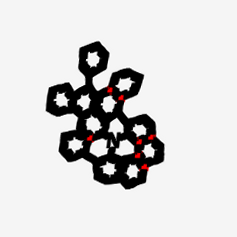 c1ccc(-c2cccc(-c3ccccc3)c2N(c2ccc3c(c2)c(-c2ccccc2)c(-c2ccccc2)c2ccccc23)c2c(-c3ccccc3)cccc2-c2ccccc2)cc1